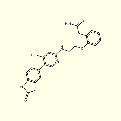 Cc1cc(NCCOc2ccccc2CC(N)=O)ncc1-c1ccc2c(c1)CC(=O)N2